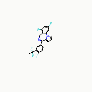 CC(F)(F)c1cc(C2=NCc3c(F)cc(F)cc3-n3cccc32)ccc1F